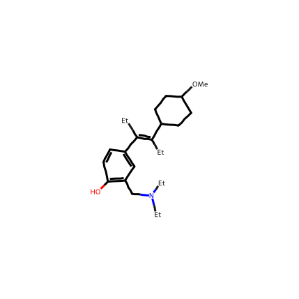 CC/C(=C(/CC)C1CCC(OC)CC1)c1ccc(O)c(CN(CC)CC)c1